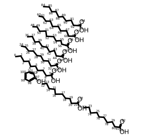 CCCCCCCCCC(=O)O.CCCCCCCCCC(=O)O.CCCCCCCCCC(=O)O.CCCCCCCCCC(=O)O.CCCCCCCCCC(=O)O.CCCCCCCCCC(=O)O.CCCCCCCCCC(=O)O.CCCCCCCCCC(=O)O.Oc1ccccc1